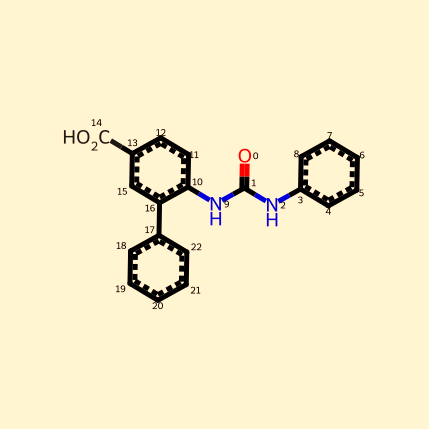 O=C(Nc1ccccc1)Nc1ccc(C(=O)O)cc1-c1ccccc1